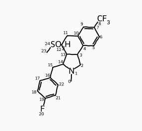 CN1CC2c3ccc(C(F)(F)F)cc3CCC2C1Cc1ccc(F)cc1.CS(=O)(=O)O